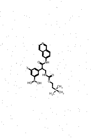 CS(C)(C)CCOC(=O)NCC(C(=O)Nc1ccc2cnccc2c1)c1cc(F)cc(B(O)O)c1